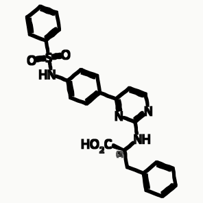 O=C(O)[C@H](Cc1ccccc1)Nc1nccc(-c2ccc(NS(=O)(=O)c3ccccc3)cc2)n1